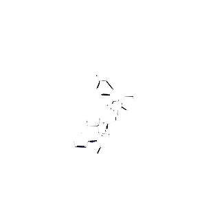 C=C/C(=C\C=C/C)n1nc(Cn2nc(-c3ccc(Cl)cc3)n(CC(O)C(F)(F)F)c2=O)nc1C(C)O